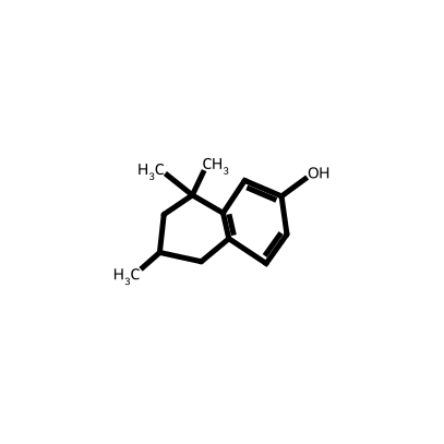 CC1Cc2ccc(O)cc2C(C)(C)C1